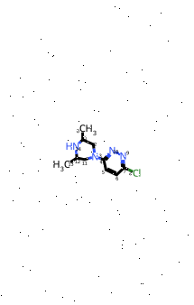 CC1CN(c2ccc(Cl)nn2)CC(C)N1